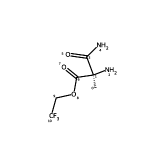 C[C@@](N)(C(N)=O)C(=O)OCC(F)(F)F